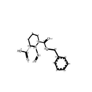 O=NN1[C@H](C(=O)O)CCCN1C(=O)OCc1ccccc1